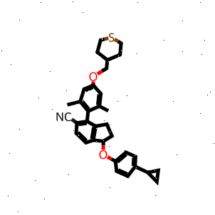 Cc1cc(OCC2CCSCC2)cc(C)c1-c1c(C#N)ccc2c1CCC2Oc1ccc(C2CC2)cc1